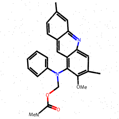 CNC(=O)OCN(c1ccccc1)c1c(OC)c(C)cc2nc3cc(C)ccc3cc12